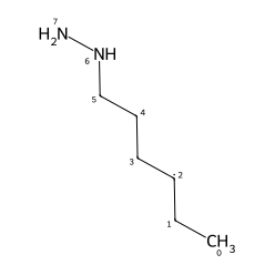 CC[CH]CCCNN